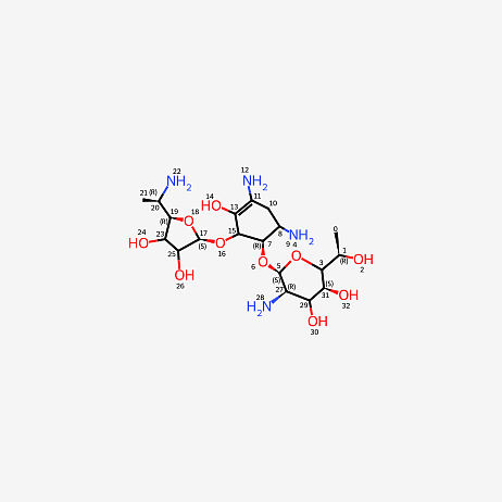 C[C@@H](O)C1O[C@H](O[C@@H]2C(N)CC(N)=C(O)C2O[C@@H]2O[C@H]([C@@H](C)N)C(O)C2O)[C@H](N)C(O)[C@@H]1O